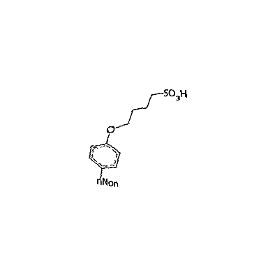 CCCCCCCCCc1ccc(OCCCCS(=O)(=O)O)cc1